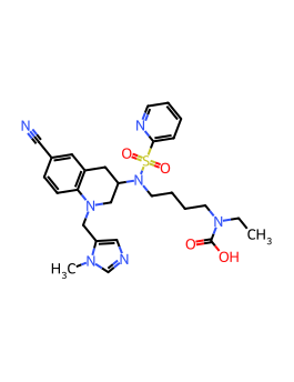 CCN(CCCCN(C1Cc2cc(C#N)ccc2N(Cc2cncn2C)C1)S(=O)(=O)c1ccccn1)C(=O)O